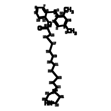 Cc1ccc(Sc2ccccc2OC(=O)CCCCCCCCCCCN2CCNCC2)c(C)c1